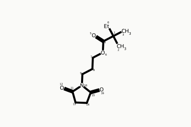 CCC(C)(C)C(=O)OCCCN1C(=O)CCC1=O